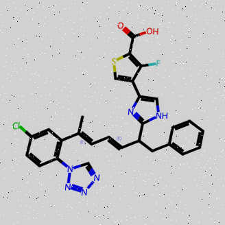 C/C(=C\C=C\C(Cc1ccccc1)c1nc(-c2csc(C(=O)O)c2F)c[nH]1)c1cc(Cl)ccc1-n1cnnn1